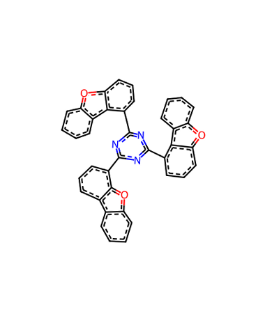 c1ccc2c(c1)oc1c(-c3nc(-c4cccc5oc6ccccc6c45)nc(-c4cccc5oc6ccccc6c45)n3)cccc12